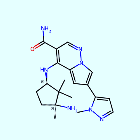 Cn1nccc1-c1cc2c(N[C@@H]3CC[C@](C)(N)C3(C)C)c(C(N)=O)cnn2c1